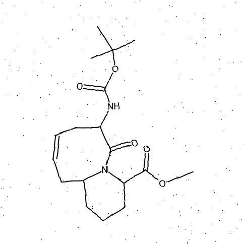 COC(=O)C1CCCC2CC=CCC(NC(=O)OC(C)(C)C)C(=O)N21